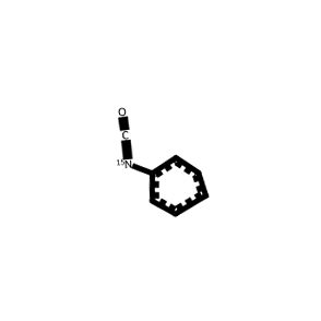 O=C=[15N]c1ccccc1